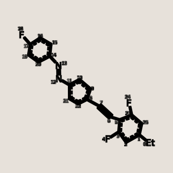 CCc1cc(F)c(C#Cc2ccc(N=Nc3ccc(F)cc3)cc2)c(F)c1